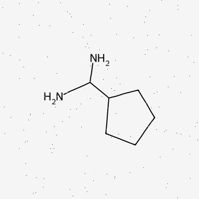 NC(N)C1CCCC1